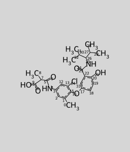 Cc1cc(NC(=O)C(C)C(=O)O)cc(Cl)c1Oc1ccc(O)c(C(=O)NC(C(C)C)C(C)C)c1